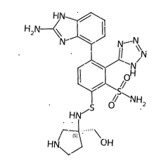 Nc1nc2c(-c3ccc(SN[C@@]4(CO)CCNC4)c(S(N)(=O)=O)c3-c3nnn[nH]3)cccc2[nH]1